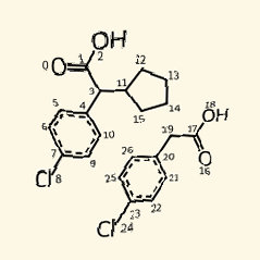 O=C(O)C(c1ccc(Cl)cc1)C1CCCC1.O=C(O)Cc1ccc(Cl)cc1